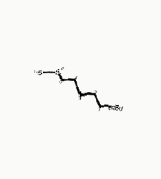 CCCCCCCCCS[S]